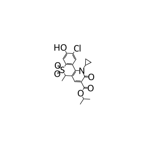 CC(C)OC(=O)c1cc2c(n(C3CC3)c1=O)-c1cc(Cl)c(O)cc1S(=O)(=O)C2C